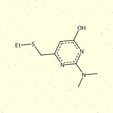 CCSCc1cc(O)nc(N(C)C)n1